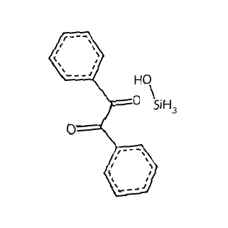 O=C(C(=O)c1ccccc1)c1ccccc1.O[SiH3]